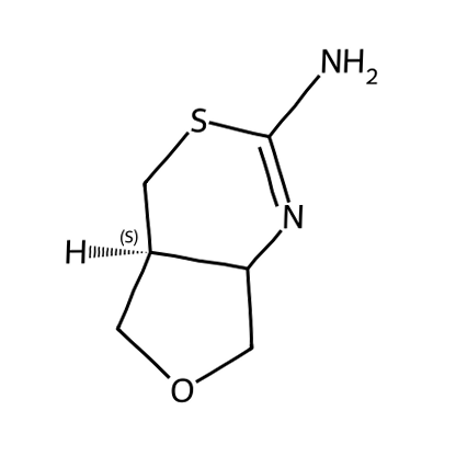 NC1=NC2COC[C@H]2CS1